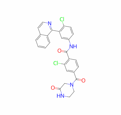 O=C1CN(C(=O)c2ccc(C(=O)Nc3ccc(Cl)c(-c4nccc5ccccc45)c3)c(Cl)c2)CCN1